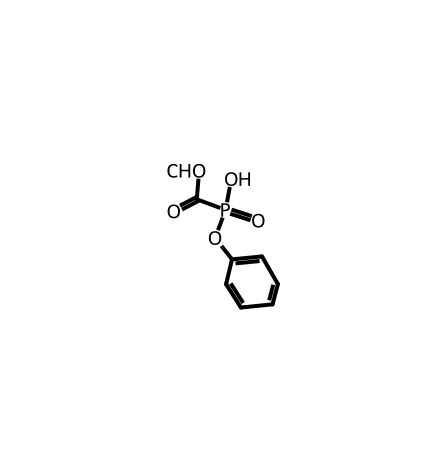 O=CC(=O)P(=O)(O)Oc1ccccc1